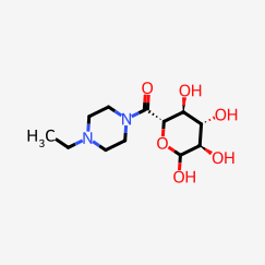 CCN1CCN(C(=O)[C@H]2OC(O)[C@H](O)[C@@H](O)[C@@H]2O)CC1